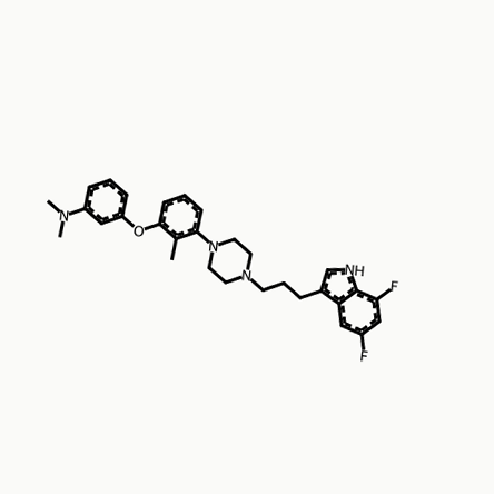 Cc1c(Oc2cccc(N(C)C)c2)cccc1N1CCN(CCCc2c[nH]c3c(F)cc(F)cc23)CC1